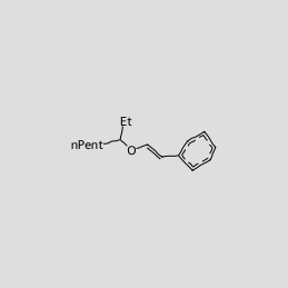 CCCCCC(CC)O/C=C/c1ccccc1